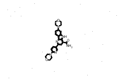 NC(=O)c1cc(-c2ccc(N3CCOCC3)nc2)nc2c1[nH]c1cc(N3CCOCC3)ccc12